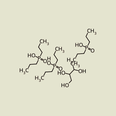 CC(O)C(O)CO.CCCP(=O)(O)CCC.CCCP(=O)(O)CCC.CCCP(=O)(O)CCC